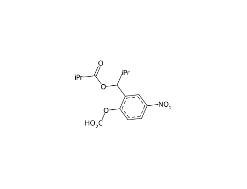 CC(C)C(=O)OC(c1cc([N+](=O)[O-])ccc1OC(=O)O)C(C)C